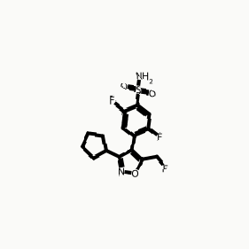 NS(=O)(=O)c1cc(F)c(-c2c(C3CCCC3)noc2CF)cc1F